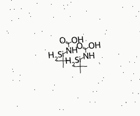 CC(C)(C)[SiH2]NC(=O)O.CC(C)(C)[SiH2]NC(=O)O